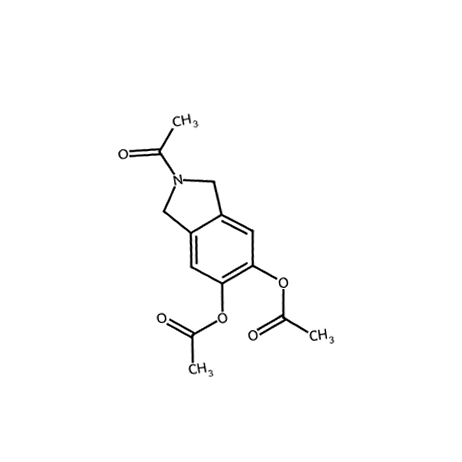 CC(=O)Oc1cc2c(cc1OC(C)=O)CN(C(C)=O)C2